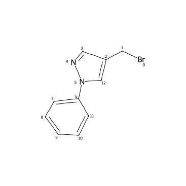 BrCc1cnn(-c2ccccc2)c1